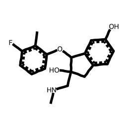 CNCC1(O)Cc2ccc(O)cc2C1Oc1cccc(F)c1C